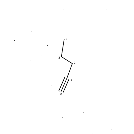 [C]#C[CH]CC